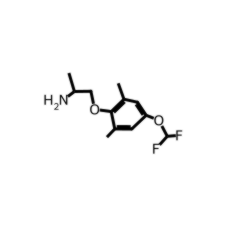 Cc1cc(OC(F)F)cc(C)c1OCC(C)N